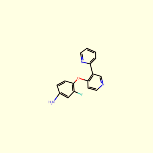 Nc1ccc(Oc2ccncc2-c2ccccn2)c(F)c1